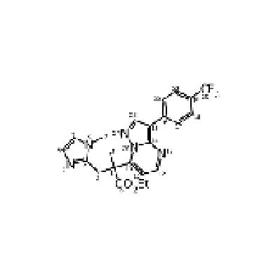 CCOC(=O)C(C)(Cc1nccn1C)c1ccnc2c(-c3ccc(C(F)(F)F)cc3)cnn12